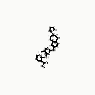 CNC(=O)c1cccnc1Nc1nc(Nc2ccc3c(c2)CC[C@@H](N2CCCC2)CC3)ncc1Cl